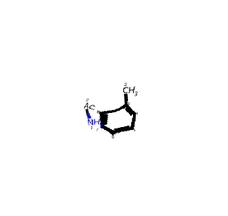 CC(N)=O.Cc1ccccc1